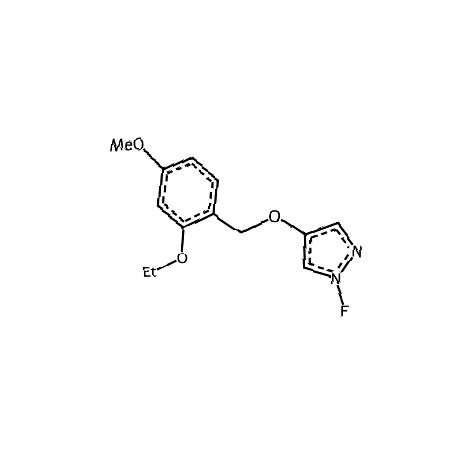 CCOc1cc(OC)ccc1COc1cnn(F)c1